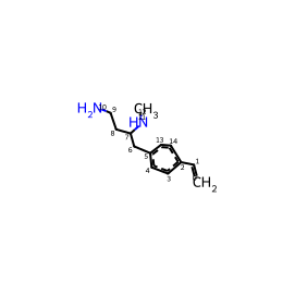 C=Cc1ccc(CC(CCN)NC)cc1